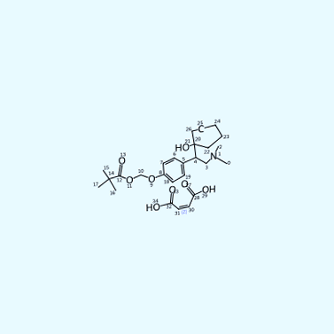 CN(C)CC(c1ccc(OCOC(=O)C(C)(C)C)cc1)C1(O)CCCCC1.O=C(O)/C=C\C(=O)O